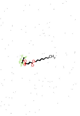 CCCCCCCCOC(=O)C=CC(=O)OC(F)(C(F)F)C(F)(F)F